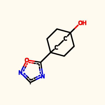 OC12CCC(c3n[c]no3)(CC1)CC2